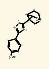 COc1ccc(-c2noc(C3CN4CCC3CC4)n2)cc1